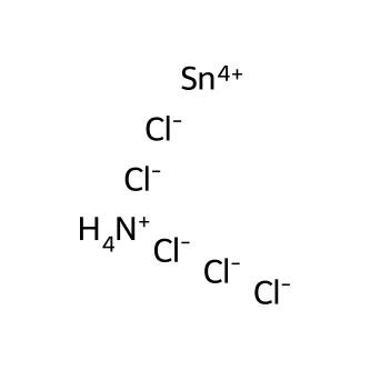 [Cl-].[Cl-].[Cl-].[Cl-].[Cl-].[NH4+].[Sn+4]